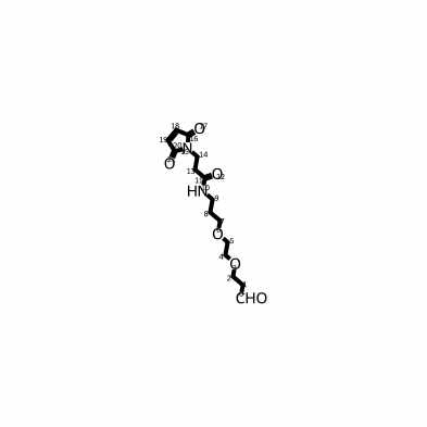 O=CCCOCCOCCCNC(=O)CCN1C(=O)C=CC1=O